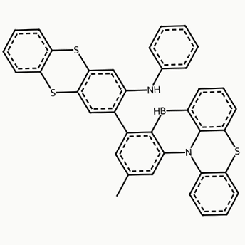 Cc1cc(-c2cc3c(cc2Nc2ccccc2)Sc2ccccc2S3)c2c(c1)N1c3ccccc3Sc3cccc(c31)B2